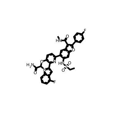 CCS(=O)(=O)Nc1cc2oc(-c3ccc(F)cc3)c(C(=O)NC)c2cc1-c1ccc2c(n1)-c1cc3c(F)cccc3n1C(C(N)=O)O2